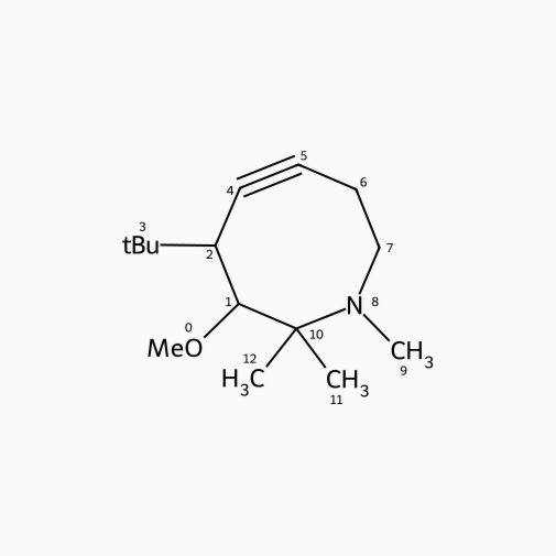 COC1C(C(C)(C)C)C#CCCN(C)C1(C)C